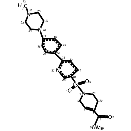 CNC(=O)C1=CCN(S(=O)(=O)c2ccc(-c3ccc(N4CCN(C)CC4)cc3)nc2)CC1